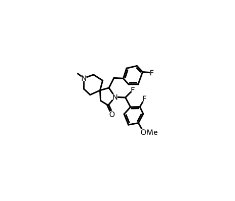 COc1ccc(C(F)N2C(=O)CC3(CCN(C)CC3)C2Cc2ccc(F)cc2)c(F)c1